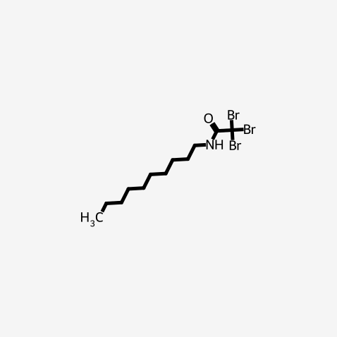 CCCCCCCCCCNC(=O)C(Br)(Br)Br